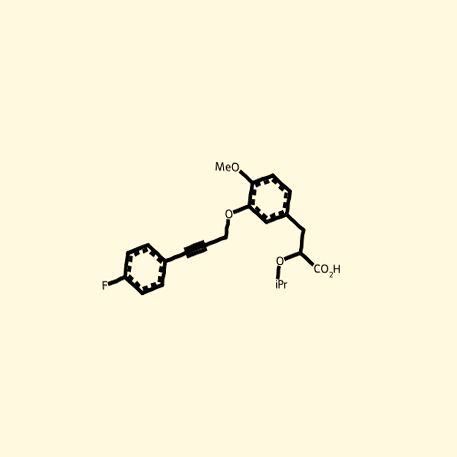 COc1ccc(CC(OC(C)C)C(=O)O)cc1OCC#Cc1ccc(F)cc1